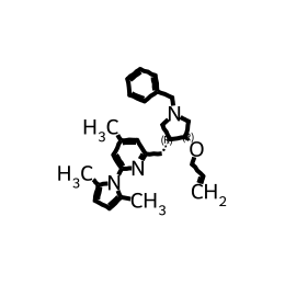 C=CCO[C@H]1CN(Cc2ccccc2)C[C@H]1Cc1cc(C)cc(-n2c(C)ccc2C)n1